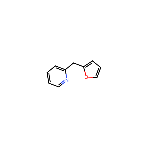 [C](c1ccccn1)c1ccco1